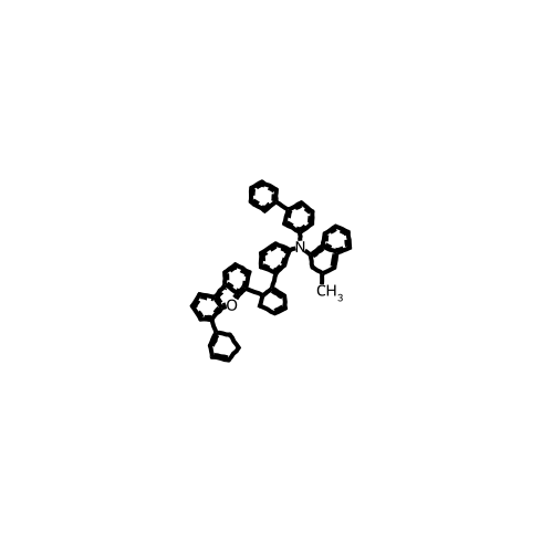 CC1C=c2ccccc2=C(N(c2cccc(C3=CC=CCC3c3cccc4c3oc3c(C5=CC=CCC5)cccc34)c2)c2cccc(-c3ccccc3)c2)C1